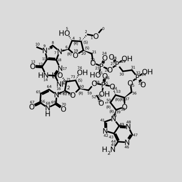 COC[C@H]1[C@@H](O)[C@H](n2c[n+](C)c3c(=O)[nH]c(N)nc32)O[C@@H]1COP(=O)(O)OP(=O)(O)CCP(=O)(O)OC[C@H]1O[C@@H](n2cnc3c(N)ncnc32)[C@H](OC)[C@@H]1OP(=O)(O)OC[C@H]1O[C@@H](n2ccc(=O)[nH]c2=O)[C@H](O)[C@@H]1O